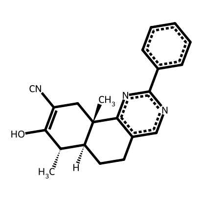 [C-]#[N+]C1=C(O)[C@@H](C)[C@@H]2CCc3cnc(-c4ccccc4)nc3[C@@]2(C)C1